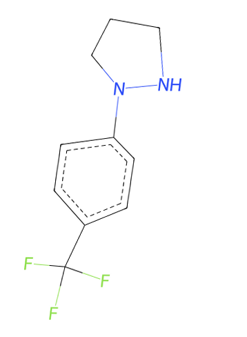 FC(F)(F)c1ccc(N2CCCN2)cc1